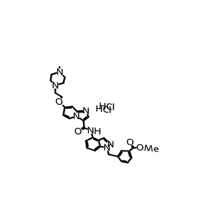 COC(=O)c1cccc(Cn2ncc3c(NC(=O)c4cnc5cc(OCCN6CCN(C)CC6)ccn45)cccc32)c1.Cl.Cl